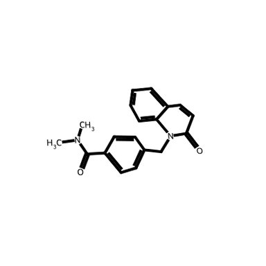 CN(C)C(=O)c1ccc(Cn2c(=O)ccc3ccccc32)cc1